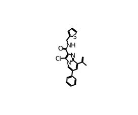 C=C(C)c1cc(-c2ccccc2)cn2c(Cl)c(C(=O)NCc3cccs3)nc12